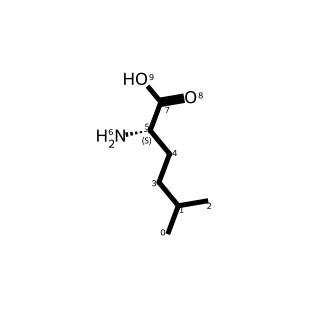 C[C](C)CC[C@H](N)C(=O)O